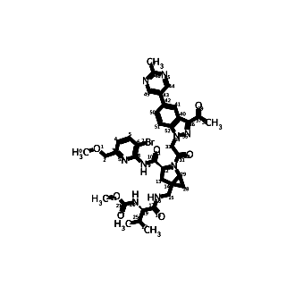 COCc1ccc(Br)c(NC(=O)[C@@H]2CC3(CNC(=O)[C@@H](NC(=O)OC)C(C)C)CC3N2C(=O)Cn2nc(C(C)=O)c3cc(-c4cnc(C)nc4)ccc32)n1